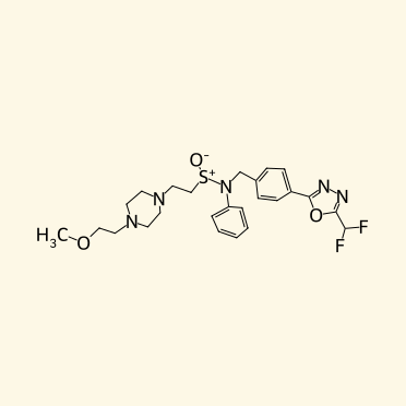 COCCN1CCN(CC[S+]([O-])N(Cc2ccc(-c3nnc(C(F)F)o3)cc2)c2ccccc2)CC1